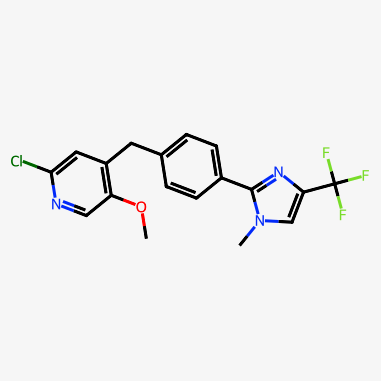 COc1cnc(Cl)cc1Cc1ccc(-c2nc(C(F)(F)F)cn2C)cc1